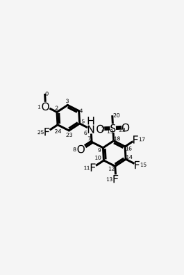 COc1ccc(NC(=O)c2c(F)c(F)c(F)c(F)c2S(C)(=O)=O)cc1F